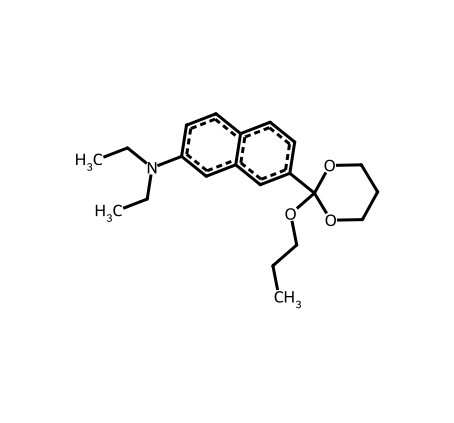 CCCOC1(c2ccc3ccc(N(CC)CC)cc3c2)OCCCO1